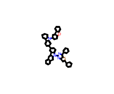 c1ccc(-c2cc3nc(-n4c5ccc(-c6ccc7c8ccccc8n(-c8ccc9oc%10ccccc%10c9c8)c7c6)cc5c5cc6ccccc6cc54)nc(-c4ccccc4)c3s2)cc1